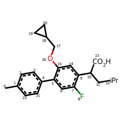 Cc1ccc(-c2cc(F)c(C(CC(C)C)C(=O)O)cc2OCC2CC2)cc1